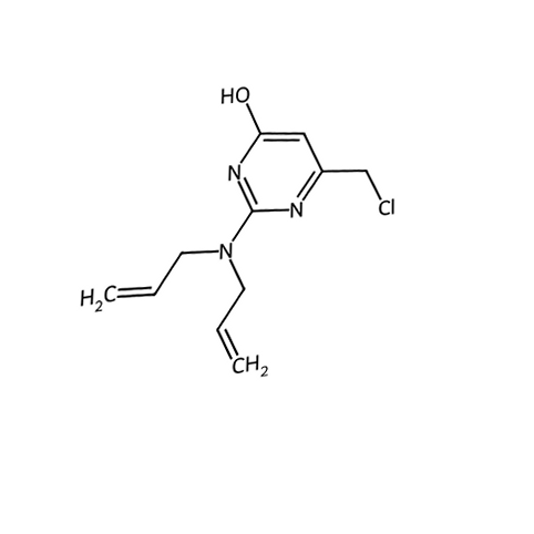 C=CCN(CC=C)c1nc(O)cc(CCl)n1